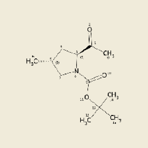 CC(=O)[C@@H]1C[C@@H](C)CN1C(=O)OC(C)(C)C